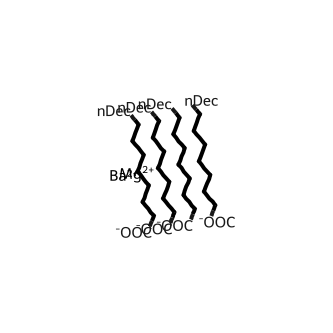 CCCCCCCCCCCCCCCCCC(=O)[O-].CCCCCCCCCCCCCCCCCC(=O)[O-].CCCCCCCCCCCCCCCCCC(=O)[O-].CCCCCCCCCCCCCCCCCC(=O)[O-].[Ba+2].[Mg+2]